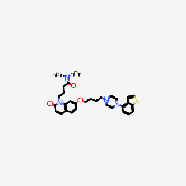 CCCN(CCC)C(=O)CCCn1c(=O)ccc2ccc(OCCCCN3CCN(c4cccc5sccc45)CC3)cc21